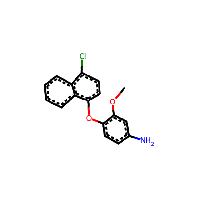 COc1cc(N)ccc1Oc1ccc(Cl)c2ccccc12